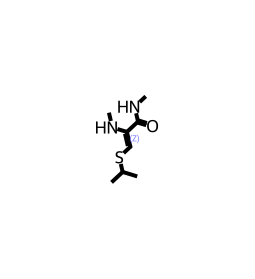 CNC(=O)/C(=C/SC(C)C)NC